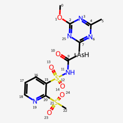 COc1nc(C)nc([AsH]C(=O)NS(=O)(=O)c2cccnc2S(C)(=O)=O)n1